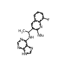 CCCCc1nc2c(F)cccc2cc1C(C)Nc1ncnc2[nH]cnc12